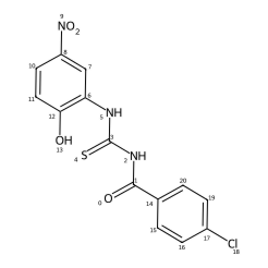 O=C(NC(=S)Nc1cc([N+](=O)[O-])ccc1O)c1ccc(Cl)cc1